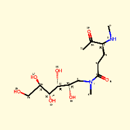 CN[C@@H](CCC(=O)N(C)C[C@H](O)[C@@H](O)[C@H](O)[C@H](O)CO)C(C)=O